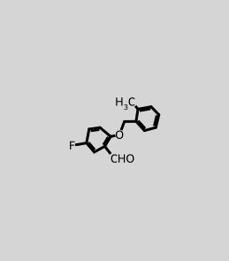 Cc1ccccc1COc1ccc(F)cc1C=O